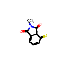 O=C1C2=CC=CC(=S)C2C(=O)N1C(Cl)(Cl)Cl